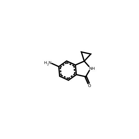 Nc1ccc2c(c1)C1(CC1)NC2=O